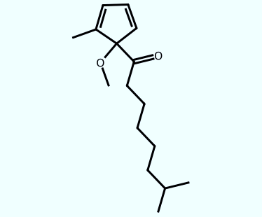 COC1(C(=O)CCCCCC(C)C)C=CC=C1C